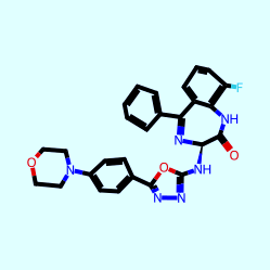 O=C1Nc2c(F)cccc2C(c2ccccc2)=N[C@@H]1Nc1nnc(-c2ccc(N3CCOCC3)cc2)o1